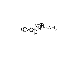 NCCCn1ccc2cnc(Nc3ccc(N4CCOCC4)cc3)nc21